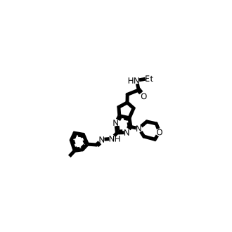 CCNC(=O)CC1Cc2nc(N/N=C/c3cccc(C)c3)nc(N3CCOCC3)c2C1